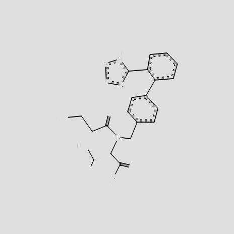 CCCC(=O)N(Cc1ccc(-c2ccccc2-c2nnn[nH]2)cc1)[C@H](C(N)=O)C(C)C